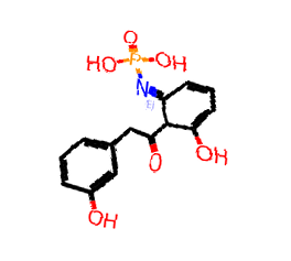 O=C(Cc1cccc(O)c1)C1C(O)=CC=C/C1=N\P(=O)(O)O